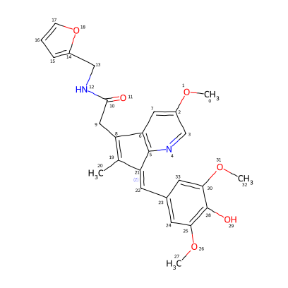 COc1cnc2c(c1)C(CC(=O)NCc1ccco1)=C(C)/C2=C/c1cc(OC)c(O)c(OC)c1